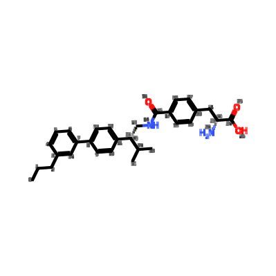 CCCc1cccc(-c2ccc([C@H](CNC(=O)c3ccc(C[C@@H](N)C(=O)O)cc3)C(C)C)cc2)c1